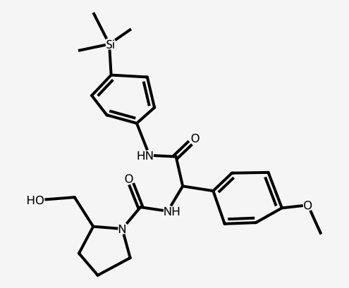 COc1ccc(C(NC(=O)N2CCCC2CO)C(=O)Nc2ccc([Si](C)(C)C)cc2)cc1